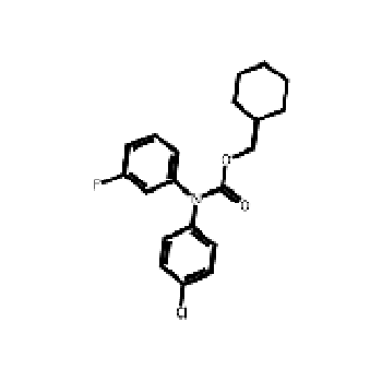 O=C(OCC1CCCCC1)N(c1ccc(Cl)cc1)c1cccc(F)c1